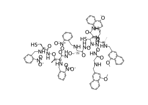 COc1cc(CNCC(=O)NON(C(=O)[C@H](C)NCc2cc(OC)c3ccccc3c2)N(ONC(=O)[C@H](CONC(=O)[C@@H](NCc2ccccc2[N+](=O)[O-])[C@@H](C)ONC(=O)[C@H](CS)NCc2ccccc2[N+](=O)[O-])NCc2ccccc2[N+](=O)[O-])C(S)[C@H](NCc2cc(OC)c3ccccc3c2)C(N)=O)cc2ccccc12